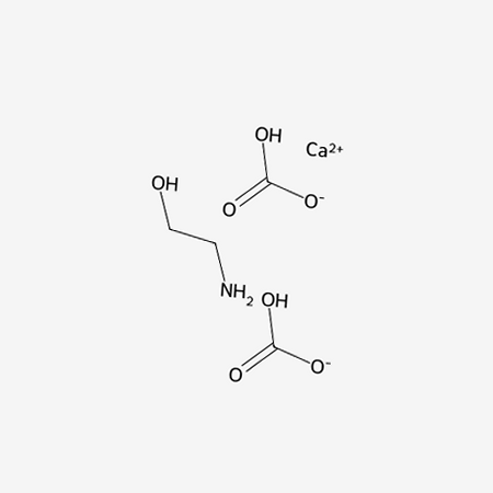 NCCO.O=C([O-])O.O=C([O-])O.[Ca+2]